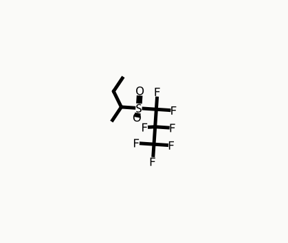 CCC(C)S(=O)(=O)C(F)(F)C(F)(F)C(F)(F)F